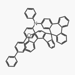 c1ccc(-c2ccc(-c3ccc(N(c4ccccc4)c4ccc5c(c4)C4(c6ccccc6-c6ccccc6-5)c5ccccc5-c5c4ccc4oc6ccccc6c54)cc3)cc2)cc1